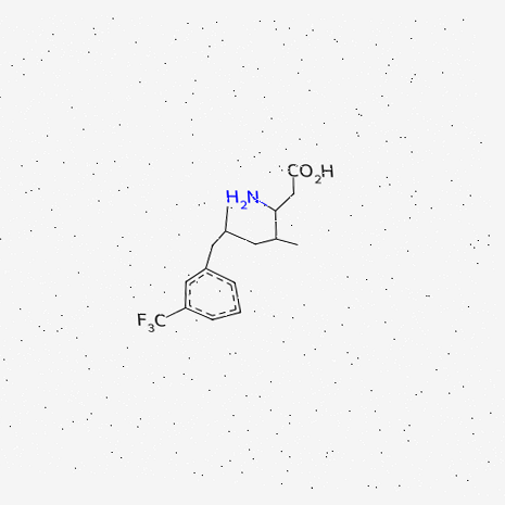 CC(Cc1cccc(C(F)(F)F)c1)CC(C)C(N)CC(=O)O